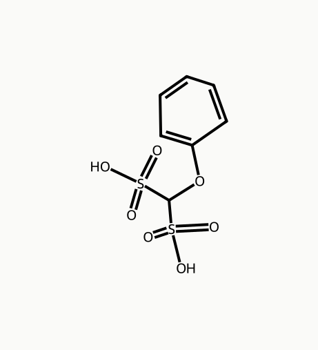 O=S(=O)(O)C(Oc1ccccc1)S(=O)(=O)O